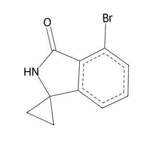 O=C1NC2(CC2)c2cccc(Br)c21